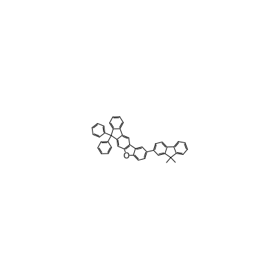 CC1(C)c2ccccc2-c2ccc(-c3ccc4oc5cc6c(cc5c4c3)-c3ccccc3C6(c3ccccc3)c3ccccc3)cc21